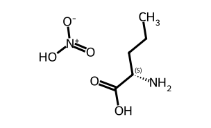 CCC[C@H](N)C(=O)O.O=[N+]([O-])O